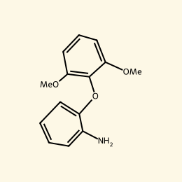 COc1cccc(OC)c1Oc1ccccc1N